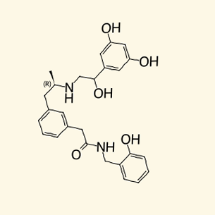 C[C@H](Cc1cccc(CC(=O)NCc2ccccc2O)c1)NCC(O)c1cc(O)cc(O)c1